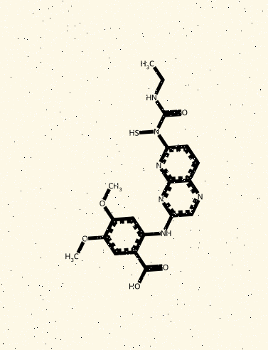 CCNC(=O)N(S)c1ccc2ncc(Nc3cc(OC)c(OC)cc3C(=O)O)nc2n1